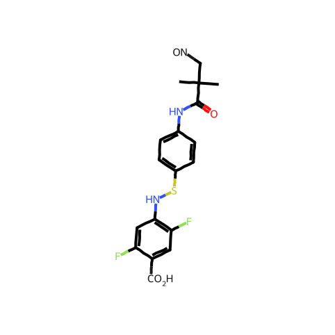 CC(C)(CN=O)C(=O)Nc1ccc(SNc2cc(F)c(C(=O)O)cc2F)cc1